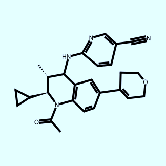 CC(=O)N1c2ccc(C3=CCOCC3)cc2C(Nc2ccc(C#N)cn2)[C@@H](C)[C@@H]1C1CC1